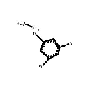 CC(=O)O.CCc1cc(Br)cc(CC)c1